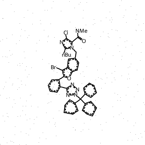 CCCCc1nc(Cl)c(C(=O)NC)n1Cc1ccc2oc(-c3ccccc3-c3nnn(C(c4ccccc4)(c4ccccc4)c4ccccc4)n3)c(Br)c2c1